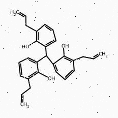 C=CCc1cccc(C(c2cccc(CC=C)c2O)c2cccc(CC=C)c2O)c1O